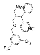 CNCC(COCc1cc(C(F)(F)F)cc(C(F)(F)F)c1)C(c1ccccc1)c1ccccc1.Cl